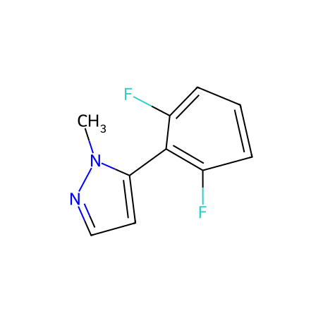 Cn1nccc1-c1c(F)cccc1F